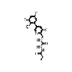 CCC(=O)NNC(=O)NCc1ncc(-c2cc(Cl)cc(F)c2Cl)cc1F